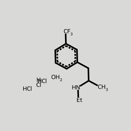 CCNC(C)Cc1cccc(C(F)(F)F)c1.Cl.Cl.Cl.O